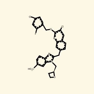 O=C(O)c1ccc2nc(Cc3ccc4cc(Cl)c(OCc5ccc(Cl)cc5F)nc4c3)n(C[C@@H]3CCO3)c2c1